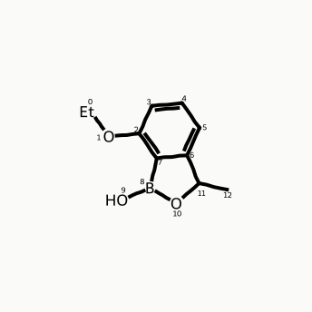 CCOc1cccc2c1B(O)OC2C